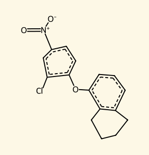 O=[N+]([O-])c1ccc(Oc2cccc3c2CCCC3)c(Cl)c1